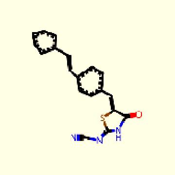 N#CN=C1NC(=O)C(=Cc2ccc(/C=C/c3ccccc3)cc2)S1